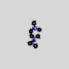 c1ccc(-c2nc(-c3ccccc3)nc(-c3cccc(-c4ccc5c(c4)n(-c4ccccc4)c4nc6c(c7ccccc7n6-c6ccccc6)n54)c3)n2)cc1